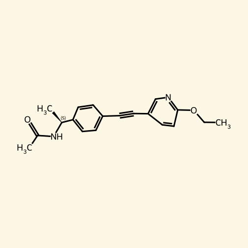 CCOc1ccc(C#Cc2ccc([C@H](C)NC(C)=O)cc2)cn1